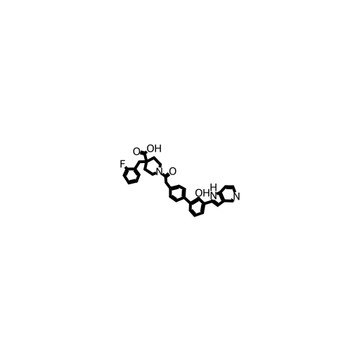 O=C(Cc1ccc(-c2cccc(-c3cc4cnccc4[nH]3)c2O)cc1)N1CCC(Cc2ccccc2F)(C(=O)O)CC1